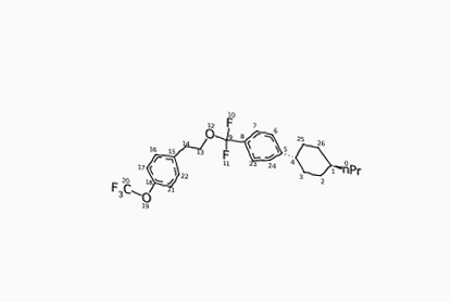 CCC[C@H]1CC[C@H](c2ccc(C(F)(F)OCCc3ccc(OC(F)(F)F)cc3)cc2)CC1